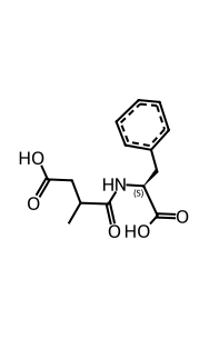 CC(CC(=O)O)C(=O)N[C@@H](Cc1ccccc1)C(=O)O